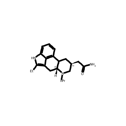 CCCN1C[C@H](CC(N)=O)CC2c3cccc4[nH]c(CC)c(c34)C[C@H]21